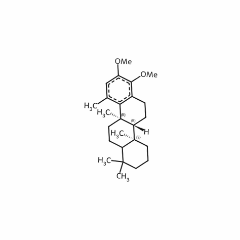 COc1cc(C)c2c(c1OC)CC[C@H]1[C@@]2(C)CCC2C(C)(C)CCC[C@@]21C